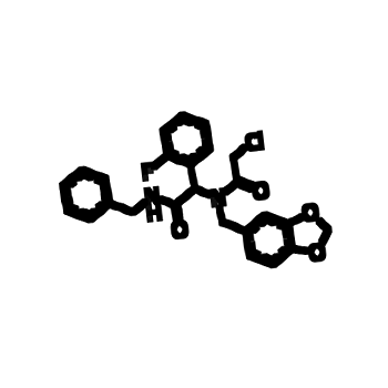 O=C(NCc1ccccc1)C(c1ccccc1F)N(Cc1ccc2c(c1)OCO2)C(=O)CCl